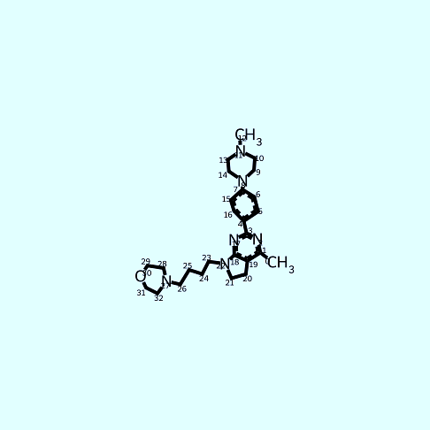 Cc1nc(-c2ccc(N3CCN(C)CC3)cc2)nc2c1CCN2CCCCN1CCOCC1